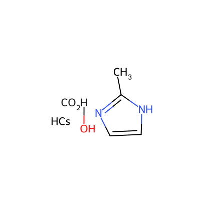 Cc1ncc[nH]1.O=C(O)O.[CsH]